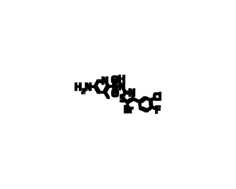 Cc1cc(N)cnc1S(=O)(=O)Nc1nc(-c2ccc(F)c(Cl)c2)c(Br)s1